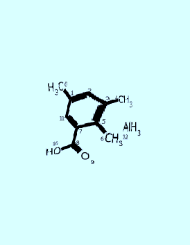 Cc1cc(C)c(C)c(C(=O)O)c1.[AlH3]